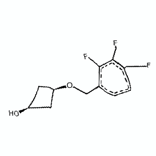 O[C@H]1C[C@@H](OCc2ccc(F)c(F)c2F)C1